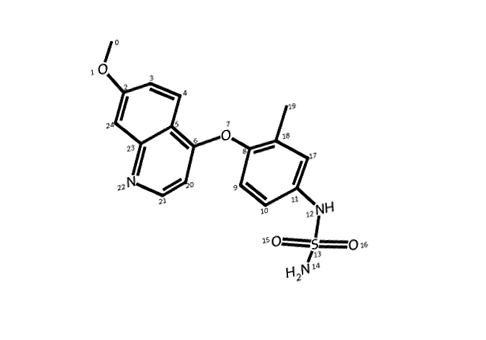 COc1ccc2c(Oc3ccc(NS(N)(=O)=O)cc3C)ccnc2c1